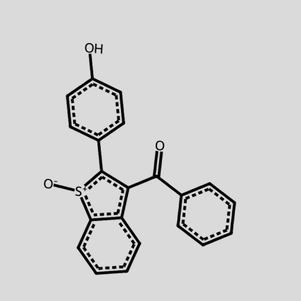 O=C(c1ccccc1)c1c(-c2ccc(O)cc2)[s+]([O-])c2ccccc12